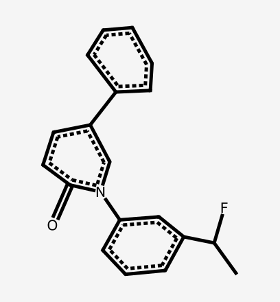 CC(F)c1cccc(-n2cc(-c3ccccc3)ccc2=O)c1